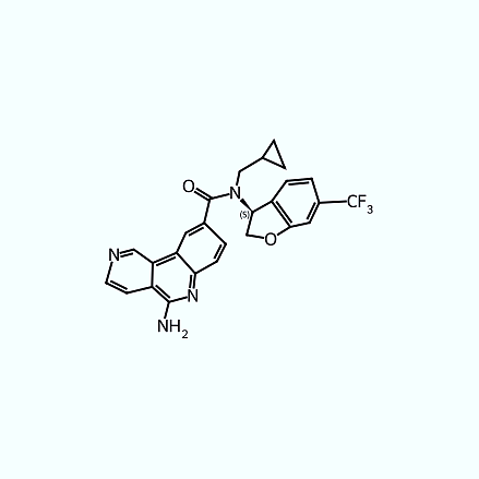 Nc1nc2ccc(C(=O)N(CC3CC3)[C@@H]3COc4cc(C(F)(F)F)ccc43)cc2c2cnccc12